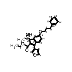 CCOC(=O)C1=C(c2ccoc2)c2ccc(OCCCc3ccccc3)cc2/C1=[N+](/C)O